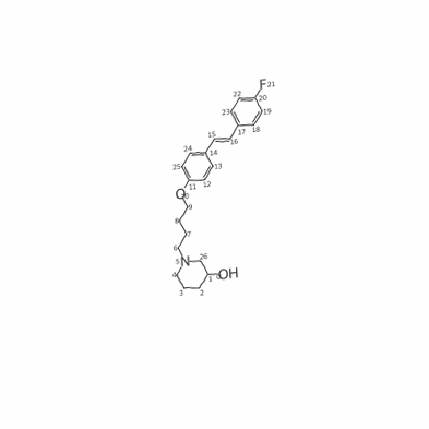 OC1CCCN(CCCCOc2ccc(C=Cc3ccc(F)cc3)cc2)C1